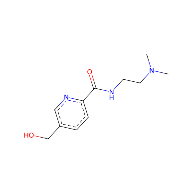 CN(C)CCNC(=O)c1ccc(CO)cn1